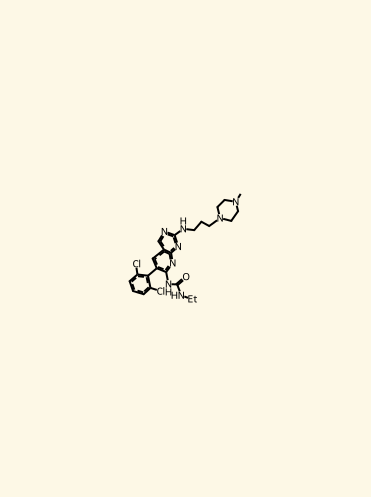 CCNC(=O)Nc1nc2nc(NCCCN3CCN(C)CC3)ncc2cc1-c1c(Cl)cccc1Cl